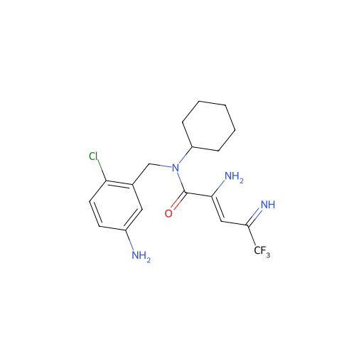 N=C(/C=C(\N)C(=O)N(Cc1cc(N)ccc1Cl)C1CCCCC1)C(F)(F)F